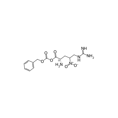 N=C(N)NCC(C[C@H](N)C(=O)OC(=O)OCc1ccccc1)[N+](=O)[O-]